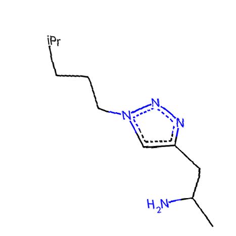 CC(C)CCCn1cc(CC(C)N)nn1